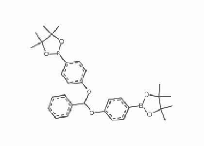 CC1(C)OB(c2ccc(OC(Oc3ccc(B4OC(C)(C)C(C)(C)O4)cc3)c3ccccc3)cc2)OC1(C)C